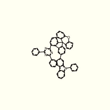 c1ccc(-c2nc(-c3ccccc3)nc(-c3cccc4c3-c3cc(-c5ccc6c7ccccc7n(-c7ccccc7)c6c5)ccc3C43c4ccccc4Oc4ccccc43)n2)cc1